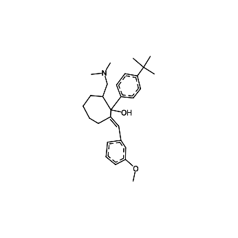 COc1cccc(C=C2CCCCC(CN(C)C)C2(O)c2ccc(C(C)(C)C)cc2)c1